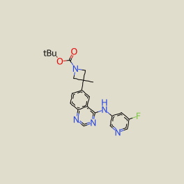 CC(C)(C)OC(=O)N1CC(C)(c2ccc3ncnc(Nc4cncc(F)c4)c3c2)C1